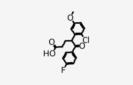 COc1ccc(Cl)c(C(CCC(=O)O)C(=O)c2ccc(F)cc2)c1